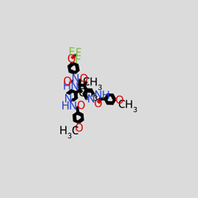 COc1ccc(C(=O)Nc2cc(C(C)C3(C(C)c4ccnc(NC(=O)c5ccc(OC)cc5)c4)NC(=O)N(c4ccc(OC(F)(F)F)cc4)C3=O)ccn2)cc1